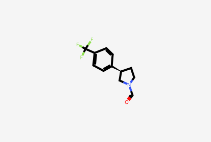 O=CN1CC[C@H](c2ccc(C(F)(F)F)cc2)C1